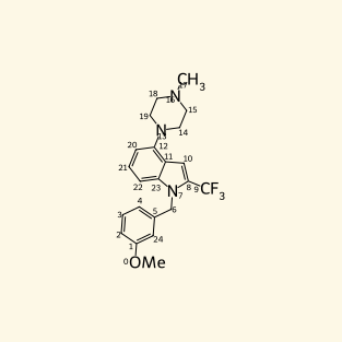 COc1cccc(Cn2c(C(F)(F)F)cc3c(N4CCN(C)CC4)cccc32)c1